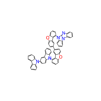 c1ccc2c(c1)nc1n(-c3cccc4oc5ccc(-c6ccc7oc8cccc(-n9c%10ccccc%10c%10cc(-n%11c%12ccccc%12c%12ccccc%12%11)ccc%109)c8c7c6)cc5c34)c3ccccc3n21